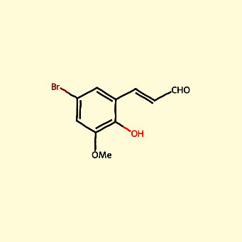 COc1cc(Br)cc(C=CC=O)c1O